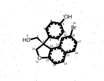 OC[C@]1(c2ccc(O)cc2)COc2ccc3ccc(Br)cc3c21